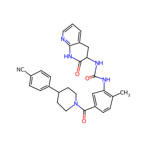 Cc1ccc(C(=O)N2CCC(c3ccc(C#N)cc3)CC2)cc1NC(=O)NC1Cc2cccnc2NC1=O